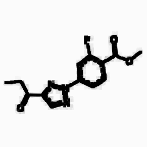 CCC(=O)c1cnn(-c2ccc(C(=O)OC)c(F)c2)n1